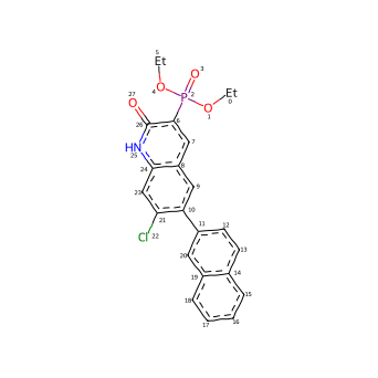 CCOP(=O)(OCC)c1cc2cc(-c3ccc4ccccc4c3)c(Cl)cc2[nH]c1=O